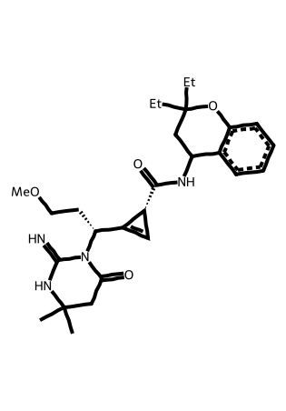 CCC1(CC)CC(NC(=O)[C@@H]2C=C2[C@@H](CCOC)N2C(=N)NC(C)(C)CC2=O)c2ccccc2O1